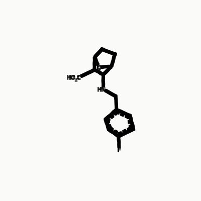 O=C(O)C1C2CCC(O2)C1NCc1ccc(F)cc1